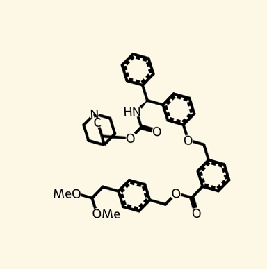 COC(Cc1ccc(COC(=O)c2cccc(COc3cccc([C@@H](NC(=O)OC4CN5CCC4CC5)c4ccccc4)c3)c2)cc1)OC